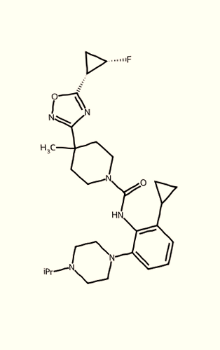 CC(C)N1CCN(c2cccc(C3CC3)c2NC(=O)N2CCC(C)(c3noc([C@@H]4C[C@@H]4F)n3)CC2)CC1